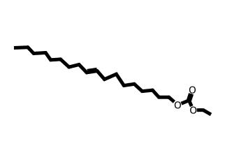 CCCCCCCCC=CCCCCCCCCOC(=O)OCC